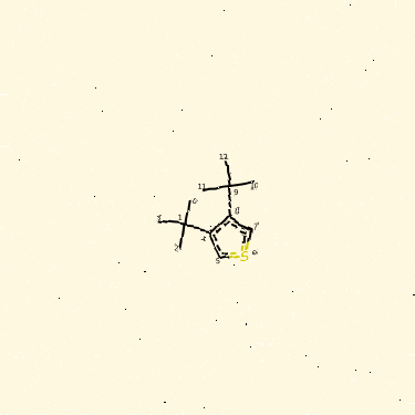 CC(C)(C)c1cscc1C(C)(C)C